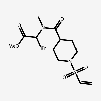 C=CS(=O)(=O)N1CCC(C(=O)N(C)C(C(=O)OC)C(C)C)CC1